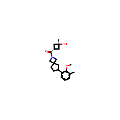 COc1c(C)cccc1C1CCC2(C1)CN(C(=O)[C@H]1C[C@@](C)(O)C1)C2